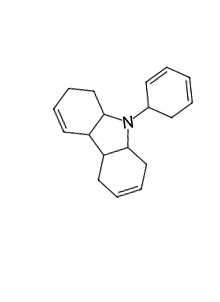 C1=CCC(N2C3CCC=CC3C3CC=CCC32)C=C1